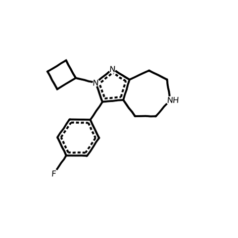 Fc1ccc(-c2c3c(nn2C2CCC2)CCNCC3)cc1